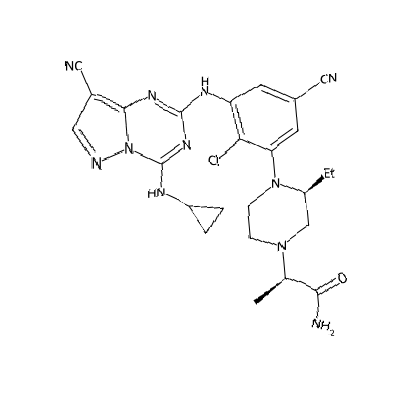 CC[C@H]1CN([C@H](C)C(N)=O)CCN1c1cc(C#N)cc(Nc2nc(NC3CC3)n3ncc(C#N)c3n2)c1Cl